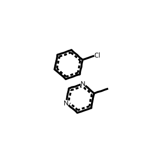 Cc1ccncn1.Clc1ccccc1